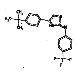 CC(C)(C)c1ccc(-c2csc(=Nc3ccc(C(F)(F)F)cc3)[nH]2)cc1